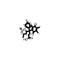 CCCC(O[N+](=O)[O-])C(CCC(=O)O)(C1=C(C)C(=O)C(C)=C(C)C1=O)c1ccc(F)cc1